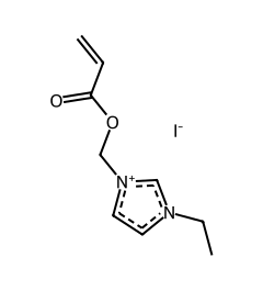 C=CC(=O)OC[n+]1ccn(CC)c1.[I-]